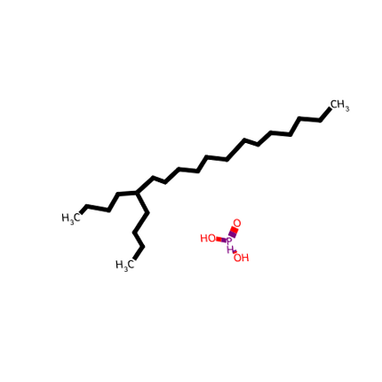 CCCCCCCCCCCCCC(CCCC)CCCC.O=[PH](O)O